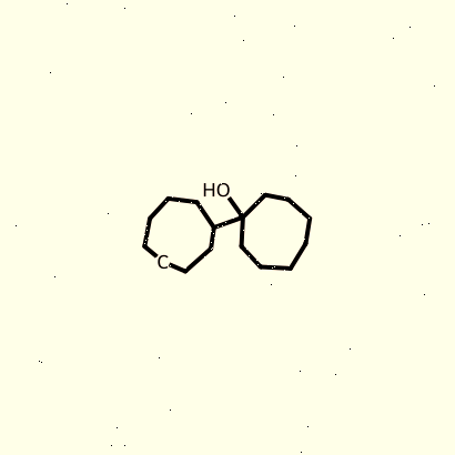 OC1(C2CCCCCCC2)CCCCCCC1